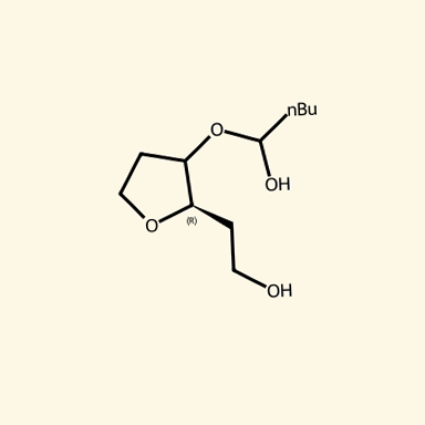 CCCCC(O)OC1CCO[C@@H]1CCO